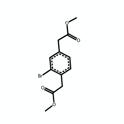 COC(=O)Cc1ccc(CC(=O)OC)c(Br)c1